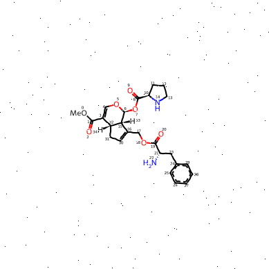 COC(=O)C1=CO[C@@H](OC(=O)[C@H]2CCCN2)[C@@H]2C(COC(=O)[C@@H](N)Cc3ccccc3)=CC[C@H]12